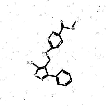 Cc1onc(-c2ccccc2)c1CNc1ccc(C(=O)NC(C)C)cn1